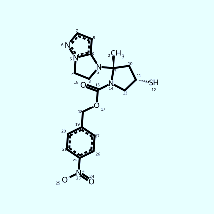 C[C@@]1(N2CCn3nccc32)C[C@H](S)CN1C(=O)OCc1ccc([N+](=O)[O-])cc1